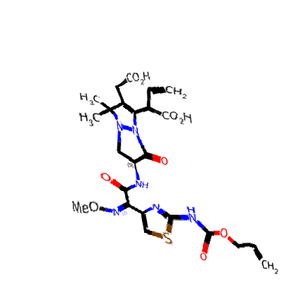 C=CCOC(=O)Nc1nc(/C(=N/OC)C(=O)N[C@H]2CN3N(C2=O)C(C(C=C)C(=O)O)=C(CC(=O)O)C3(C)C)cs1